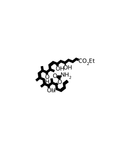 C=C/C=C\[C@H](C)C(OC(N)=O)C(C)C(O)C(C)C/C(C)=C\C(C)C(O)C(C)/C=C\C(O)C[C@H](O)CCCC(=O)OCC